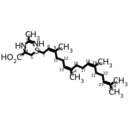 CC(=N)NC(CSCC=C(C)CCC=C(C)CCC=C(C)CCC=C(C)C)C(=O)O